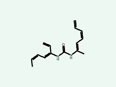 C=C/C=C\C=C(/C)NC(=O)N/C(C=C)=C/C=C\C